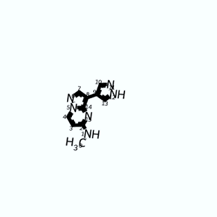 CNc1ccn2ncc(-c3cn[nH]c3)c2n1